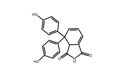 O=C1NC(=O)C2C1=CC=CC2(c1ccc(O)cc1)c1ccc(O)cc1